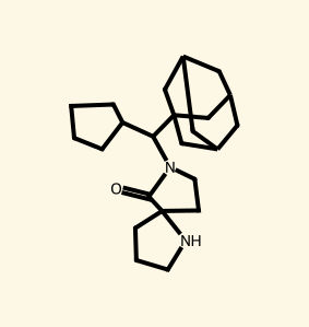 O=C1N(C(C2CCCC2)C23CC4CC(CC(C4)C2)C3)CCC12CCCN2